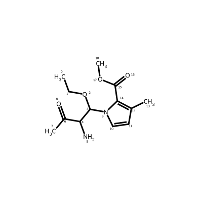 CCOC(C(N)C(C)=O)n1ccc(C)c1C(=O)OC